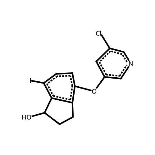 OC1CCc2c(Oc3cncc(Cl)c3)ccc(I)c21